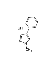 Cn1cc(-c2ccccc2)cn1.[LiH]